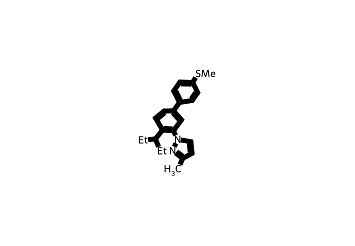 CCC(CC)c1ccc(-c2ccc(SC)cc2)cc1-n1ccc(C)n1